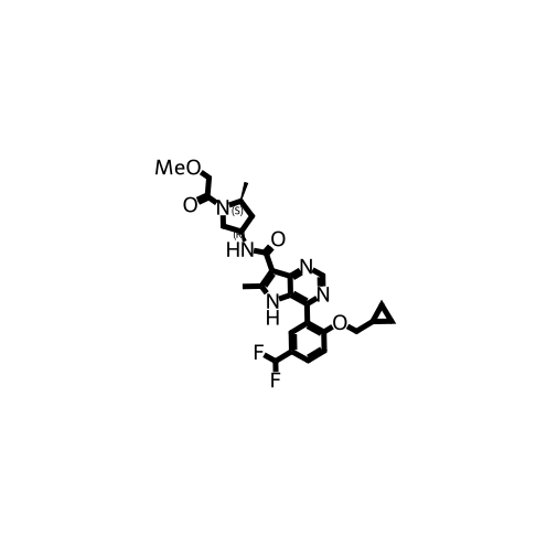 COCC(=O)N1C[C@H](NC(=O)c2c(C)[nH]c3c(-c4cc(C(F)F)ccc4OCC4CC4)ncnc23)C[C@@H]1C